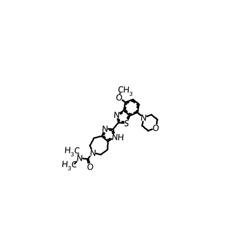 COc1ccc(N2CCOCC2)c2sc(-c3nc4c([nH]3)CCN(C(=O)N(C)C)CC4)nc12